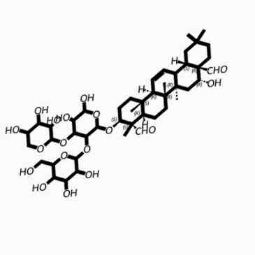 CC1(C)CC[C@]2(C=O)[C@H](O)C[C@]3(C)C(C=C[C@@H]4[C@@]5(C)CC[C@H](OC6OC(O)C(O)C(OC7OCC(O)C(O)C7O)C6OC6OC(CO)C(O)C(O)C6O)[C@@](C)(C=O)[C@@H]5CC[C@]43C)[C@@H]2C1